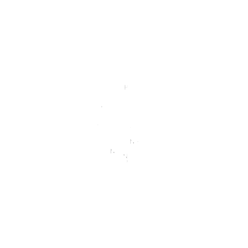 Cc1c(Br)ccc2c1nnn2C